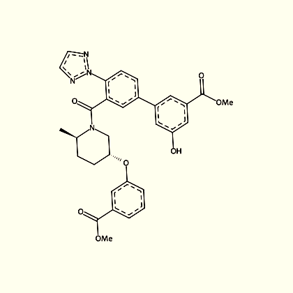 COC(=O)c1cccc(O[C@@H]2CC[C@@H](C)N(C(=O)c3cc(-c4cc(O)cc(C(=O)OC)c4)ccc3-n3nccn3)C2)c1